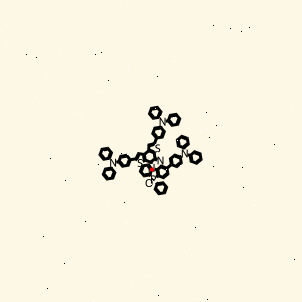 O=P(c1ccccc1)(c1ccccc1)c1ccc(-c2ccc(N(c3ccccc3)c3ccccc3)cc2)c2nc3c(nc12)c1sc(-c2ccc(N(c4ccccc4)c4ccccc4)cc2)cc1c1cc(-c2ccc(N(c4ccccc4)c4ccccc4)cc2)sc13